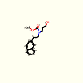 CC(C)(C)OC(=O)N(CCCO)CCc1ccc2ccccc2c1